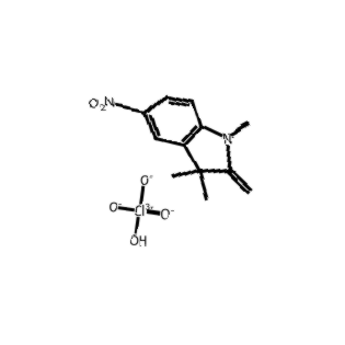 C=C1N(C)c2ccc([N+](=O)[O-])cc2C1(C)C.[O-][Cl+3]([O-])([O-])O